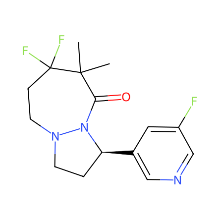 CC1(C)C(=O)N2[C@@H](c3cncc(F)c3)CCN2CCC1(F)F